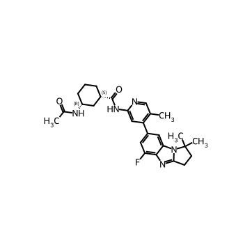 CC(=O)N[C@@H]1CCC[C@H](C(=O)Nc2cc(-c3cc(F)c4nc5n(c4c3)C(C)(C)CC5)c(C)cn2)C1